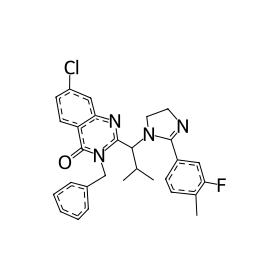 Cc1ccc(C2=NCCN2C(c2nc3cc(Cl)ccc3c(=O)n2Cc2ccccc2)C(C)C)cc1F